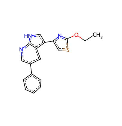 CCOc1nc(-c2c[nH]c3ncc(-c4ccccc4)cc23)cs1